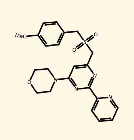 COc1ccc(CS(=O)(=O)Cc2cc(N3CCOCC3)nc(-c3ccccn3)n2)cc1